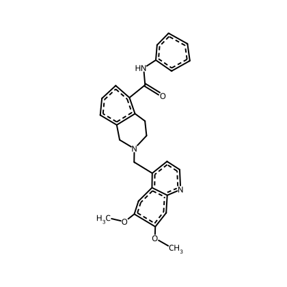 COc1cc2nccc(CN3CCc4c(cccc4C(=O)Nc4ccccc4)C3)c2cc1OC